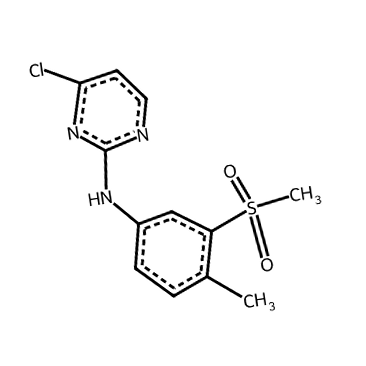 Cc1ccc(Nc2nccc(Cl)n2)cc1S(C)(=O)=O